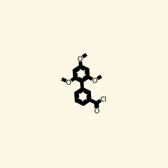 COc1cc(OC)c(-c2cccc(C(=O)Cl)c2)c(OC)c1